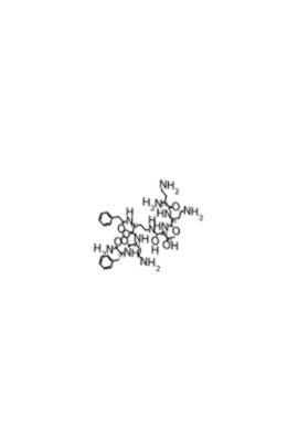 C[C@@H](O)[C@H](NC(=O)[C@H](CCN)NC(=O)[C@@H](N)CCN)C(O)NCC[C@H](NC(=O)Cc1ccccc1)C(=O)N[C@@H](CCN)C(=O)N[C@H](Cc1ccccc1)C(N)=O